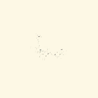 CC(C)[C@H](NC(=O)[C@@H](N)CCCNC(=N)N)C(=O)N[C@H](C(=O)NCC(=O)N[C@@H](CO)C(=O)N[C@@H](CO)C(=O)O)[C@H](C)O